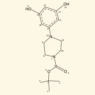 CC(C)(C)OC(=O)N1CCN(c2cc(O)cc(O)c2)CC1